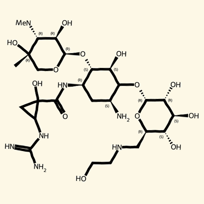 CN[C@@H]1[C@@H](O)[C@@H](O[C@H]2[C@H](NC(=O)C3(O)CC3NC(=N)N)C[C@H](N)C(O[C@H]3O[C@H](CNCCO)[C@@H](O)[C@H](O)[C@H]3O)[C@@H]2O)OC[C@]1(C)O